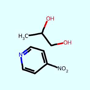 CC(O)CO.O=[N+]([O-])c1ccncc1